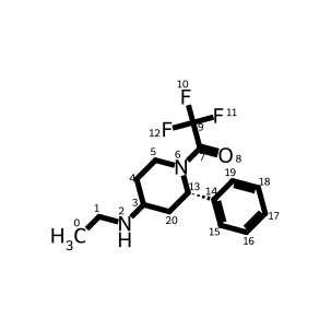 CCNC1CCN(C(=O)C(F)(F)F)[C@H](c2ccccc2)C1